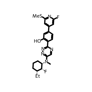 CC[C@@H]1CCC[C@H](N(C)c2cnc(-c3ccc(-c4cc(F)nc(SC)c4)cc3O)nn2)[C@@H]1F